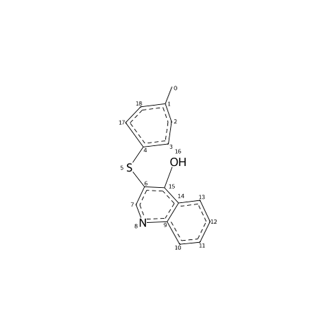 Cc1ccc(Sc2cnc3ccccc3c2O)cc1